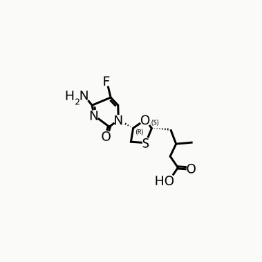 CC(CC(=O)O)C[C@H]1O[C@@H](n2cc(F)c(N)nc2=O)CS1